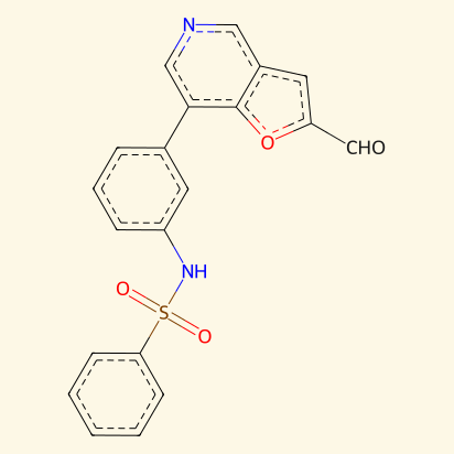 O=Cc1cc2cncc(-c3cccc(NS(=O)(=O)c4ccccc4)c3)c2o1